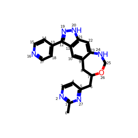 Cc1nccc(CC2Cc3cc4c(-c5ccncc5)n[nH]c4cc3NCO2)n1